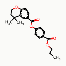 CCCOC(=O)c1ccc(OC(=O)c2ccc3c(c2)C(C)(C)CCO3)cc1